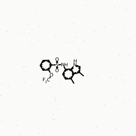 Cc1ccc(NS(=O)(=O)c2ccccc2OC(F)(F)F)c2[nH]cc(C)c12